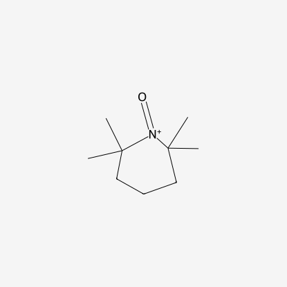 CC1(C)CCCC(C)(C)[N+]1=O